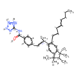 CCCCCCCCc1cc2c(cc1/C(C)=C/c1ccc(C(=O)Nc3nnn[nH]3)cc1)C(C)(C)C(C)C2(C)C